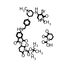 CN1C[C@H](Nc2cnn(C)c(=O)c2Br)C[C@H](c2ccc(CNc3ccc4c(c3)C(=O)N(C3CCC(=O)N(C(=O)OC(C)(C)C)C3=O)C4=O)cc2)C1.O=C1CCCN(C(=O)O)C1=O